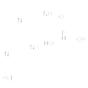 Cl.O=[PH](O)O.c1c[nH]cn1.c1c[nH]cn1